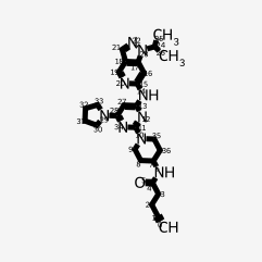 C#CCCC(=O)NC1CCN(c2nc(Nc3cc4c(cn3)cnn4C(C)C)cc(N3CCCC3)n2)CC1